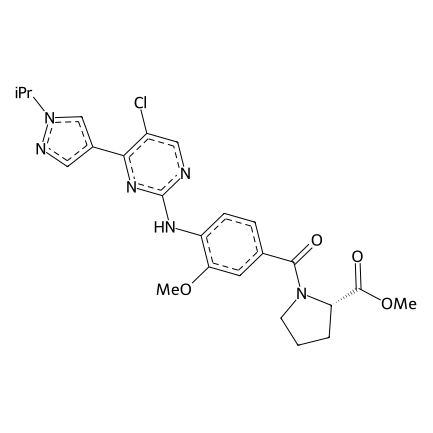 COC(=O)[C@@H]1CCCN1C(=O)c1ccc(Nc2ncc(Cl)c(-c3cnn(C(C)C)c3)n2)c(OC)c1